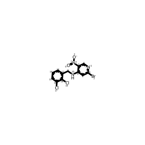 O=[N+]([O-])c1cnc(Br)cc1NCc1cccc(Cl)c1Cl